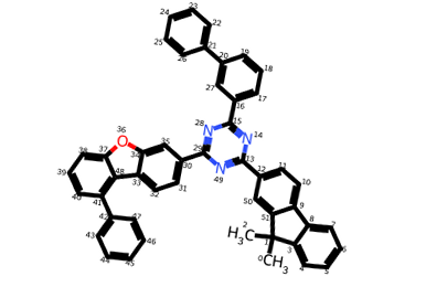 CC1(C)c2ccccc2-c2ccc(-c3nc(-c4cccc(-c5ccccc5)c4)nc(-c4ccc5c(c4)oc4cccc(-c6ccccc6)c45)n3)cc21